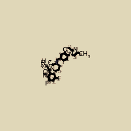 C=C1/C(=C/c2ccc3c(c2)OCc2nc(C)cn2-3)CCCN1C(CO)(ON)C1C=C(F)C=C(F)C1